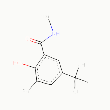 CCCCNC(=O)c1cc(C(C)(C)C(F)(F)F)cc(C(C)(C)C)c1O